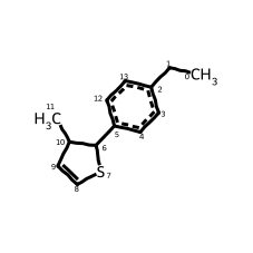 CCc1ccc(C2SC=CC2C)cc1